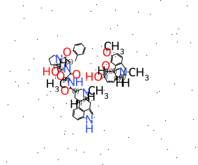 CN1C[C@H](C(=O)N[C@]2(C)O[C@@]3(O)[C@@H]4CCCN4C(=O)[C@H](Cc4ccccc4)N3C2=O)C[C@@H]2c3cccc4[nH]cc(c34)C[C@H]21.COc1ccc2c3c1O[C@H]1[C@@H](O)C=C[C@H]4[C@@H](C2)N(C)CC[C@@]341